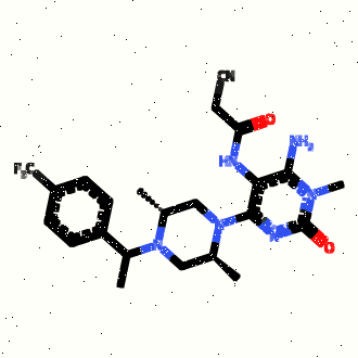 CC(c1ccc(C(F)(F)F)cc1)N1C[C@H](C)N(c2nc(=O)n(C)c(N)c2NC(=O)CC#N)C[C@H]1C